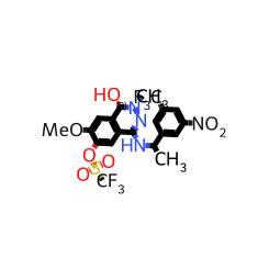 COc1cc2c(cc1OS(=O)(=O)C(F)(F)F)C(NC(C)c1cc([N+](=O)[O-])cc(C(F)(F)F)c1)=NN(C)[C@@H]2O